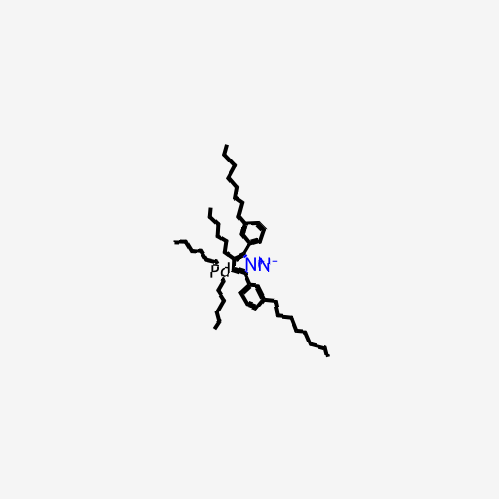 CCCCCCCCc1cccc(C2=CC(CCCCCC)=C(c3cccc(CCCCCCCC)c3)[N+]2=[N-])c1.CCCCC[CH2][Pd][CH2]CCCCC